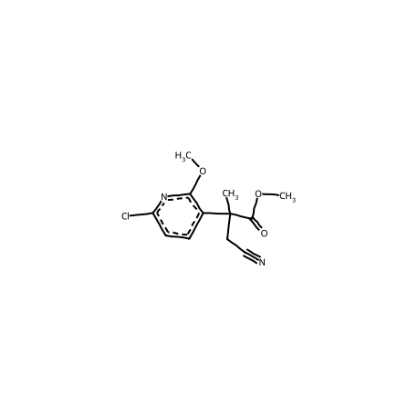 COC(=O)C(C)(CC#N)c1ccc(Cl)nc1OC